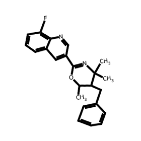 CC1OC(c2cnc3c(F)cccc3c2)=NC(C)(C)C1Cc1ccccc1